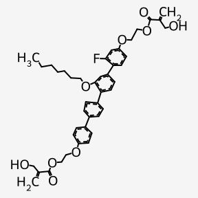 C=C(CO)C(=O)OCCOc1ccc(-c2ccc(-c3ccc(-c4ccc(OCCOC(=O)C(=C)CO)cc4F)cc3OCCCCCCC)cc2)cc1